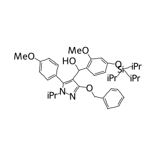 COc1ccc(-c2c(C(O)c3ccc(O[Si](C(C)C)(C(C)C)C(C)C)cc3OC)c(OCc3ccccc3)nn2C(C)C)cc1